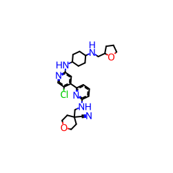 N#CC1(CNc2cccc(-c3cc(NC4CCC(NCC5CCCO5)CC4)ncc3Cl)n2)CCOCC1